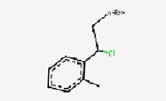 [CH2]c1ccccc1C(Cl)CCCCCCC